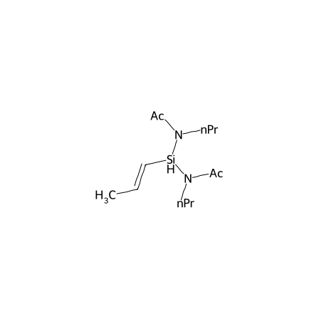 CC=C[SiH](N(CCC)C(C)=O)N(CCC)C(C)=O